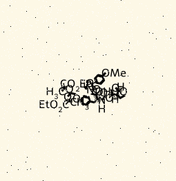 CCOC(=O)[C@H](C)OC(COc1ccc(C[C@H](NC(=O)O[C@H]2CO[C@H]3OCC[C@H]32)[C@H](O)CN(CC(C)C)S(=O)(=O)c2ccc(OC)cc2)cc1)O[C@@H](C)C(=O)OCC